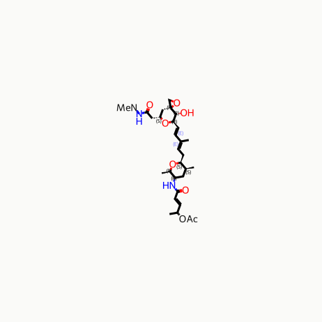 CNNC(=O)C[C@@H]1C[C@@]2(CO2)[C@H](O)[C@@H](/C=C/C(C)=C/C[C@@H]2O[C@H](C)[C@H](NC(=O)C=CC(C)OC(C)=O)C[C@@H]2C)O1